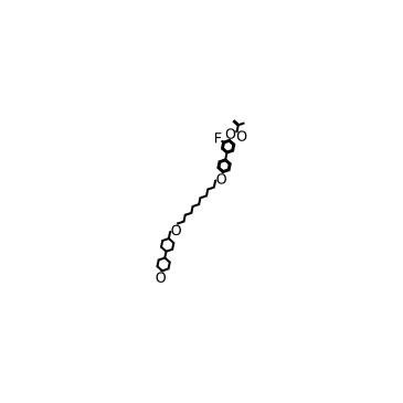 C=C(C)C(=O)Oc1ccc(-c2ccc(OCCCCCCCCCCCOCC3CCC(C4CCC(=O)CC4)CC3)cc2)cc1F